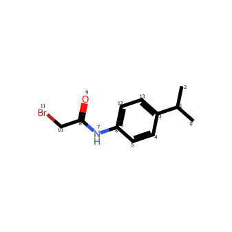 CC(C)c1ccc(NC(=O)CBr)cc1